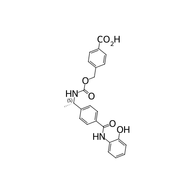 C[C@H](NC(=O)OCc1ccc(C(=O)O)cc1)c1ccc(C(=O)Nc2ccccc2O)cc1